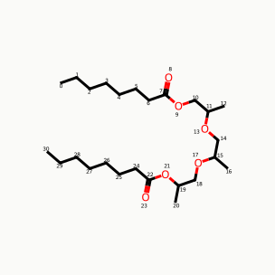 CCCCCCCC(=O)OCC(C)OCC(C)OCC(C)OC(=O)CCCCCCC